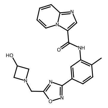 Cc1ccc(-c2noc(CN3CC(O)C3)n2)cc1NC(=O)c1cnc2ccccn12